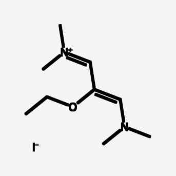 CCO/C(C=[N+](C)C)=C\N(C)C.[I-]